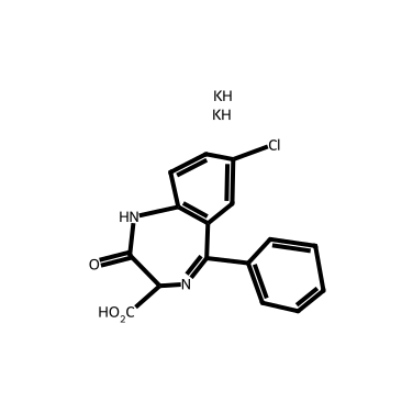 O=C(O)C1N=C(c2ccccc2)c2cc(Cl)ccc2NC1=O.[KH].[KH]